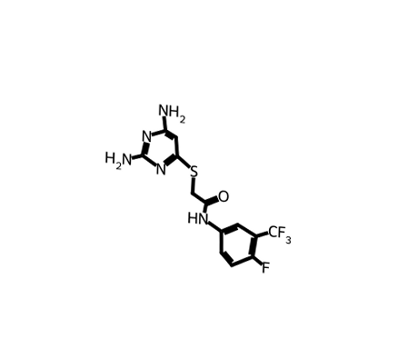 Nc1cc(SCC(=O)Nc2ccc(F)c(C(F)(F)F)c2)nc(N)n1